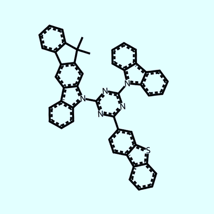 CC1(C)c2ccccc2-c2cc3c4ccccc4n(-c4nc(-c5ccc6c(c5)sc5ccccc56)nc(-n5c6ccccc6c6ccccc65)n4)c3cc21